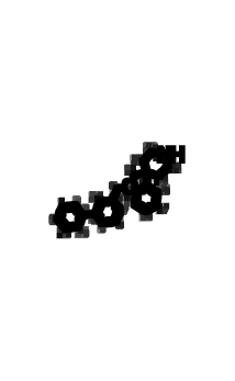 c1ccc(-c2cccc(COCC3(c4ccccc4)CCNCC3)c2)cc1